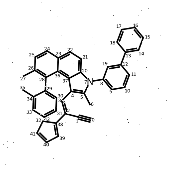 C#C/C(=C\c1c(C)n(-c2cccc(-c3ccccc3)c2)c2ccc3ccc(C)c(-c4ccccc4C)c3c12)C1=CC=CC1